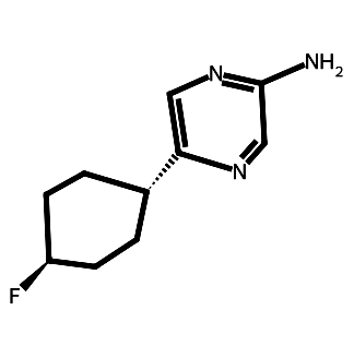 Nc1cnc([C@H]2CC[C@H](F)CC2)cn1